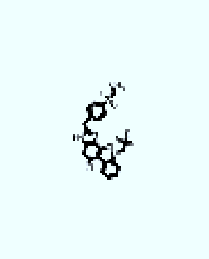 CCS(=O)(=O)c1ccc(Cc2nc3c([nH]2)CC(Cl)C(c2ccccc2OCC(F)(F)F)=C3Cl)cc1